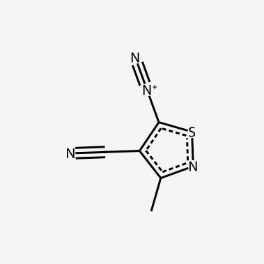 Cc1nsc([N+]#N)c1C#N